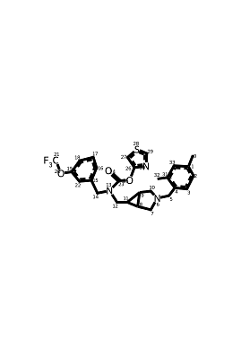 Cc1ccc(CN2CC3C(C2)C3CN(Cc2cccc(OC(F)(F)F)c2)C(=O)Oc2cscn2)c(C)c1